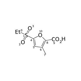 CCS(=O)(=O)c1cc(C)c(C(=O)O)o1